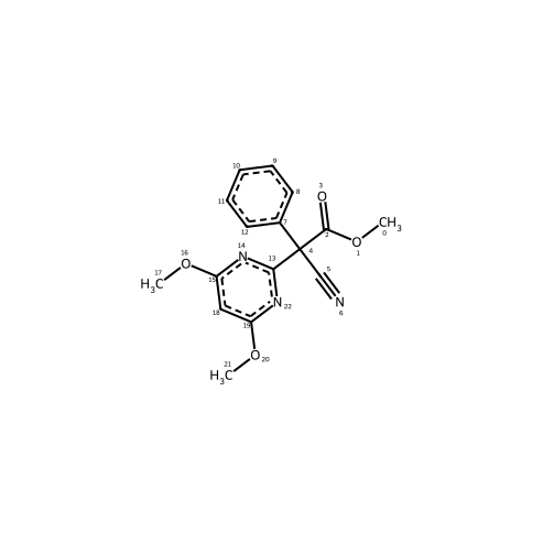 COC(=O)C(C#N)(c1ccccc1)c1nc(OC)cc(OC)n1